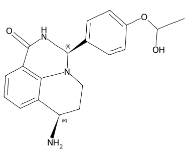 CC(O)Oc1ccc([C@@H]2NC(=O)c3cccc4c3N2CC[C@H]4N)cc1